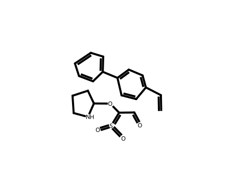 C=Cc1ccc(-c2ccccc2)cc1.O=CC(OC1CCCN1)=S(=O)=O